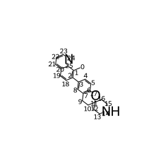 Cc1c(-c2ccc3c(c2)CCC2(CCNCC2)O3)ccc2cccnc12